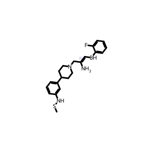 CSNc1cccc(C2CCN(C/C(N)=C/Bc3ccccc3F)CC2)c1